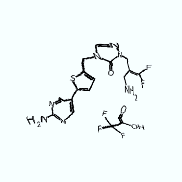 NCC(Cn1ncn(Cc2ccc(-c3cnc(N)nc3)s2)c1=O)=C(F)F.O=C(O)C(F)(F)F